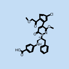 COCC(=O)c1ccc(Cl)cc1-c1cc(=O)n([C@H](CNc2ccc(C(=O)O)cc2)Cc2ccccc2)nc1OC